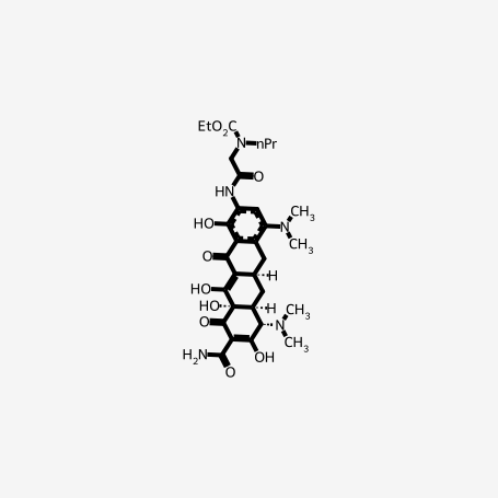 CCCN(CC(=O)Nc1cc(N(C)C)c2c(c1O)C(=O)C1=C(O)[C@]3(O)C(=O)C(C(N)=O)=C(O)[C@@H](N(C)C)[C@@H]3C[C@@H]1C2)C(=O)OCC